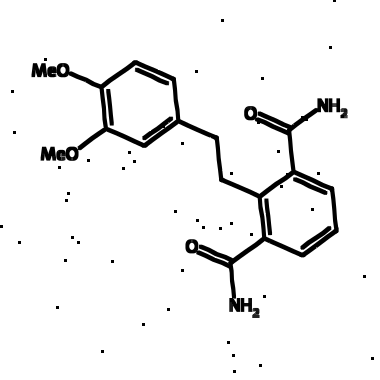 COc1ccc(CCc2c(C(N)=O)cccc2C(N)=O)cc1OC